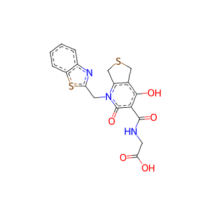 O=C(O)CNC(=O)c1c(O)c2c(n(Cc3nc4ccccc4s3)c1=O)CSC2